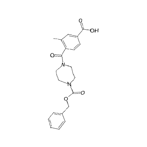 Cc1cc(C(=O)O)ccc1C(=O)N1CCN(C(=O)OCc2ccccc2)CC1